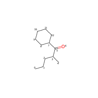 CCCC(C)C(=O)C1CCCCC1